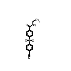 CCNC(=O)c1ccc(S(=O)(=O)c2ccc(C#N)cc2)cc1